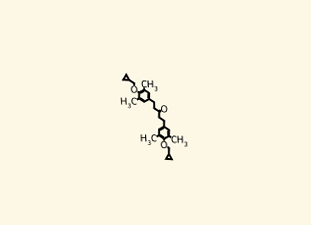 Cc1cc(CCC(=O)CCc2cc(C)c(OCC3CC3)c(C)c2)cc(C)c1OCC1CC1